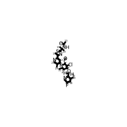 [2H]C([2H])(OC1=C(Cl)C(=C=O)N(c2cc(-c3csc(C(C)(C)NC(C)=O)n3)ncc2C)C(C)=C1)c1ncc(F)cc1F